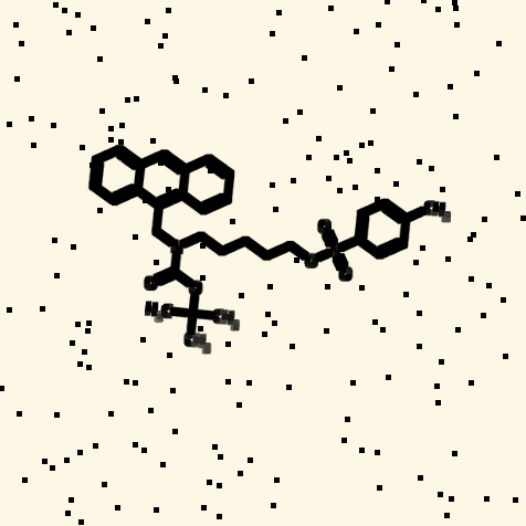 Cc1ccc(S(=O)(=O)OCCCCCN(Cc2c3ccccc3cc3ccccc23)C(=O)OC(C)(C)C)cc1